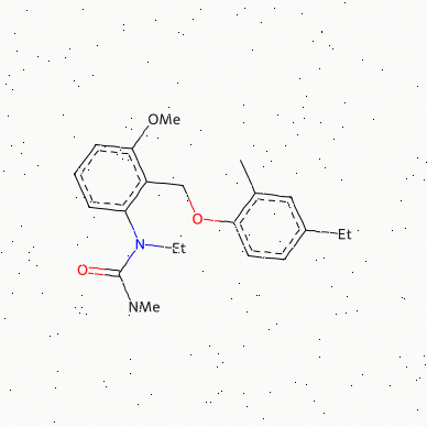 CCc1ccc(OCc2c(OC)cccc2N(CC)C(=O)NC)c(C)c1